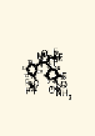 NS(=O)(=O)c1ccc(-c2c(-c3cccc(OC(F)(F)F)c3)noc2C(F)(F)F)cc1F